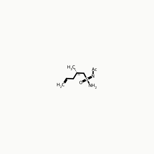 C=CC[C@H](C)CS(N)(=O)=NC(C)=O